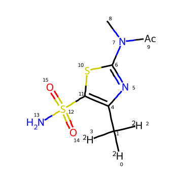 [2H]C([2H])([2H])c1nc(N(C)C(C)=O)sc1S(N)(=O)=O